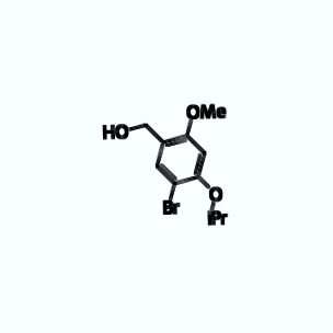 COc1cc(OC(C)C)c(Br)cc1CO